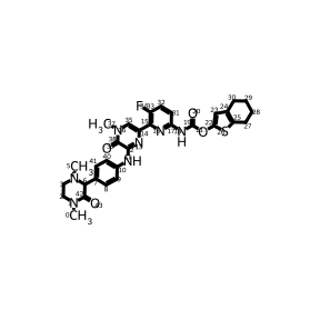 CN1CCN(C)C(c2ccc(Nc3nc(-c4nc(NC(=O)Oc5cc6c(s5)CCCC6)ccc4F)cn(C)c3=O)cc2)C1=O